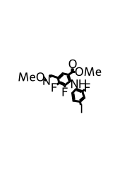 CO/N=C/c1cc(C(=O)OC)c(Nc2ccc(I)cc2F)c(F)c1F